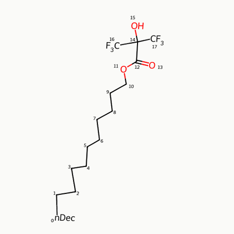 CCCCCCCCCCCCCCCCCCCCOC(=O)C(O)(C(F)(F)F)C(F)(F)F